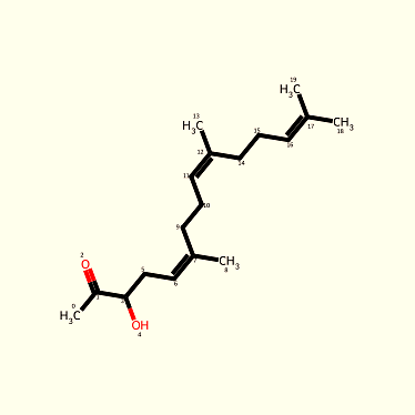 CC(=O)C(O)CC=C(C)CCC=C(C)CCC=C(C)C